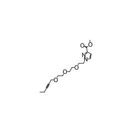 CCC#CCOCCOCCOCCn1ccc(C(=O)OC)n1